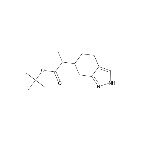 CC(C(=O)OC(C)(C)C)C1CCc2c[nH]nc2C1